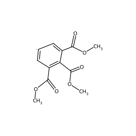 COC(=O)c1c[c]cc(C(=O)OC)c1C(=O)OC